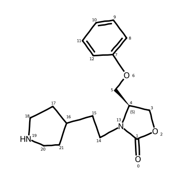 O=C1OC[C@H](COc2ccccc2)N1CCC1CCNCC1